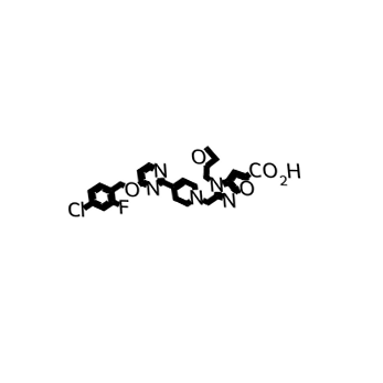 O=C(O)c1cc2c(nc(CN3CC=C(c4nccc(OCc5ccc(Cl)cc5F)n4)CC3)n2CC2CCO2)o1